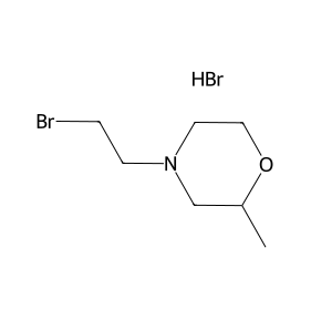 Br.CC1CN(CCBr)CCO1